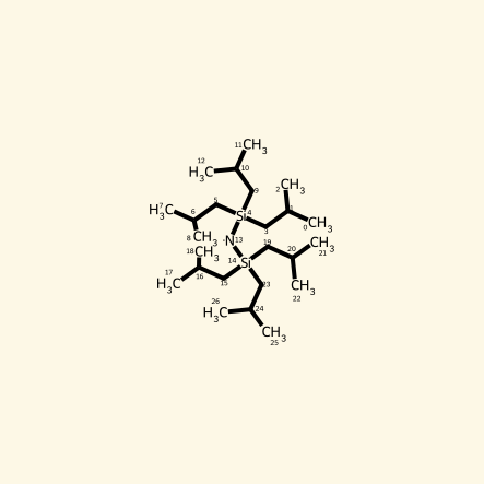 CC(C)C[Si](CC(C)C)(CC(C)C)[N][Si](CC(C)C)(CC(C)C)CC(C)C